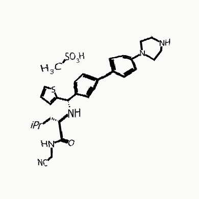 CC(C)C[C@H](N[C@@H](c1ccc(-c2ccc(N3CCNCC3)cc2)cc1)c1cccs1)C(=O)NCC#N.CS(=O)(=O)O